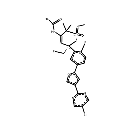 CN=[S@]1(=O)C[C@@](CF)(c2cc(-c3cc(-c4ncc(Cl)cn4)no3)ccc2F)N=C(NC(=O)O)C1(C)C